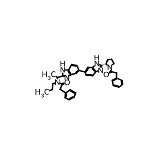 CCCN(C(=O)Cc1ccccc1)C(C)c1nc2cc(-c3ccc4nc([C@@H]5CCCN5C(=O)Cc5ccccc5)[nH]c4c3)ccc2[nH]1